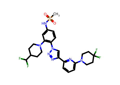 CS(=O)(=O)Nc1ccc(-n2cc(-c3cccc(N4CCC(F)(F)CC4)n3)nn2)c(N2CCC(C(F)F)CC2)c1